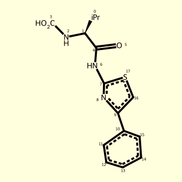 CC(C)[C@H](NC(=O)O)C(=O)Nc1nc(-c2ccccc2)cs1